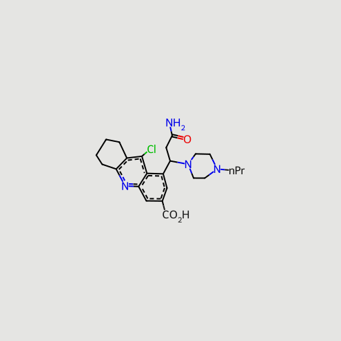 CCCN1CCN(C(CC(N)=O)c2cc(C(=O)O)cc3nc4c(c(Cl)c23)CCCC4)CC1